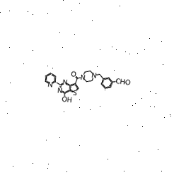 O=Cc1cccc(CN2CCN(C(=O)c3csc4c(O)nc(-c5ccccn5)nc34)CC2)c1